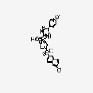 O=C(c1ncc(-c2cc[n+]([O-])cc2)nn1)N1C2CN(S(=O)(=O)c3ccc4cc(Cl)ccc4c3)CC1C(O)C2O